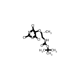 C[C@H](CNC(=O)OC(C)(C)C)Oc1c(Cl)nc(Cl)nc1Cl